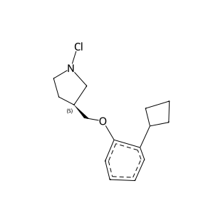 ClN1CC[C@H](COc2ccccc2C2CCC2)C1